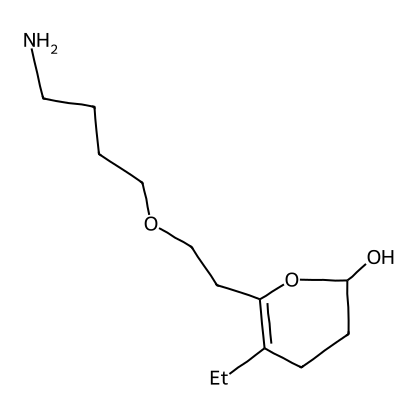 CCC1=C(CCOCCCCN)OC(O)CC1